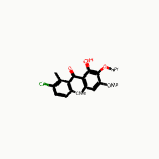 CCCOc1c(OC)cc(C)c(C(=O)c2c(OC)ccc(Cl)c2C)c1O